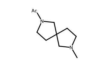 [CH2]C(=O)N1CCC2(CCN(C)C2)C1